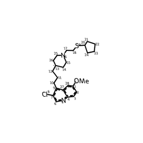 COc1ccc2ncc(Cl)c(CCC[C]3CCN(CCSC4CCCC4)CC3)c2c1